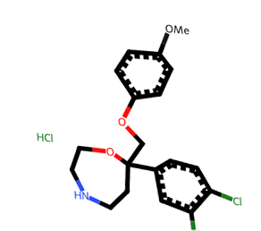 COc1ccc(OCC2(c3ccc(Cl)c(Cl)c3)CCNCCO2)cc1.Cl